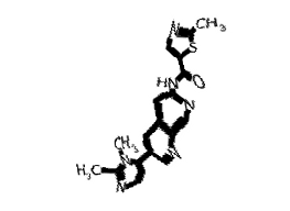 Cc1ncc(C(=O)Nc2cc3cc(-c4cnc(C)n4C)cnc3cn2)s1